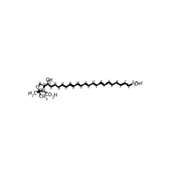 CCCCCCCCCCCCCCCCCCCCCCCCCCCCCCC[C@@H](O)[C@@H]1COC(C)(C)N1C(=O)O